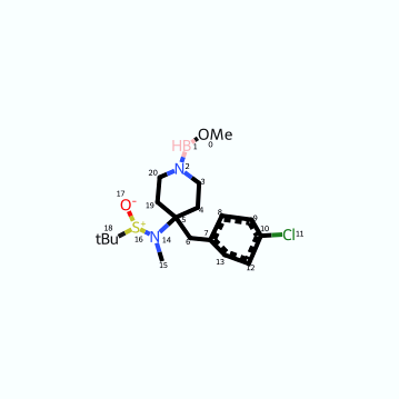 COBN1CCC(Cc2ccc(Cl)cc2)(N(C)[S+]([O-])C(C)(C)C)CC1